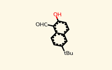 CC(C)(C)c1ccc2c(C=O)c(O)ccc2c1